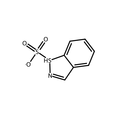 [O]S(=O)(=O)[SH]1N=Cc2ccccc21